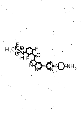 CCN(C)S(=O)(=O)Nc1ccc(F)c(C(=O)C2C=Nc3ncc(-c4cnc(N5CCC(N)CC5)nc4)cc32)c1F